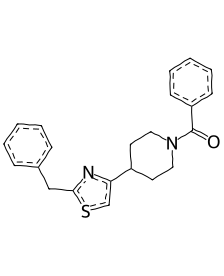 O=C(c1ccccc1)N1CCC(c2csc(Cc3ccccc3)n2)CC1